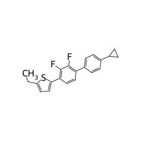 CCc1ccc(-c2ccc(-c3ccc(C4CC4)cc3)c(F)c2F)s1